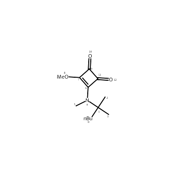 CCCCC(C)(C)N(C)c1c(OC)c(=O)c1=O